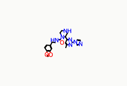 Cc1cc(C2CNCCN2C(=O)NCCc2ccc3c(c2)OCO3)nc(-n2ccnc2)n1